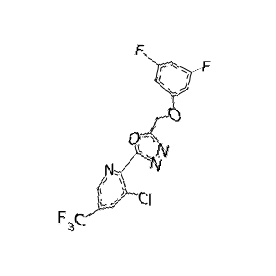 Fc1cc(F)cc(OCc2nnc(-c3ncc(C(F)(F)F)cc3Cl)o2)c1